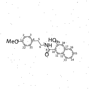 COc1ccc(CCNC(=O)c2cc3ccccc3cc2O)cc1